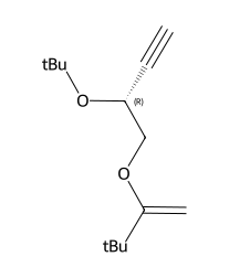 C#C[C@H](COC(=C)C(C)(C)C)OC(C)(C)C